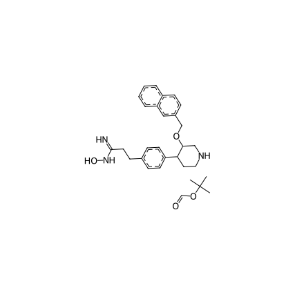 CC(C)(C)OC=O.N=C(CCc1ccc(C2CCNCC2OCc2ccc3ccccc3c2)cc1)NO